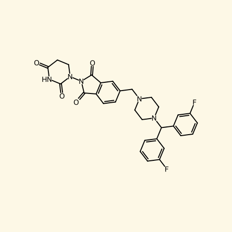 O=C1CCN(N2C(=O)c3ccc(CN4CCN(C(c5cccc(F)c5)c5cccc(F)c5)CC4)cc3C2=O)C(=O)N1